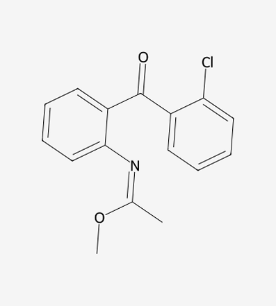 COC(C)=Nc1ccccc1C(=O)c1ccccc1Cl